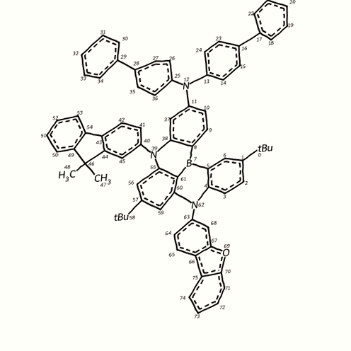 CC(C)(C)c1ccc2c(c1)B1c3ccc(N(c4ccc(-c5ccccc5)cc4)c4ccc(-c5ccccc5)cc4)cc3N(c3ccc4c(c3)C(C)(C)c3ccccc3-4)c3cc(C(C)(C)C)cc(c31)N2c1ccc2c(c1)oc1ccccc12